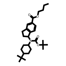 CCCCOC(=O)c1ccc2c(c1)CCC2N(C(=O)OC(C)(C)C)C1CCC(C(C)(C)C)CC1